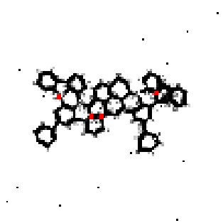 Fc1cc(-c2ccccc2)cc(-c2ccccc2)c1N(c1ccc2c3c4c(ccc13)C=CC(N(c1c(F)cc(-c3ccccc3)cc1C1=CCCC=C1)c1cccc3c1oc1ccccc13)C4C=C2)c1cccc2c1oc1ccccc12